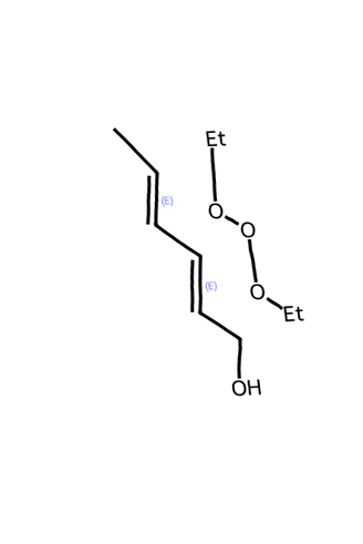 C/C=C/C=C/CO.CCOOOCC